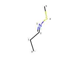 [CH2]CC=NSC